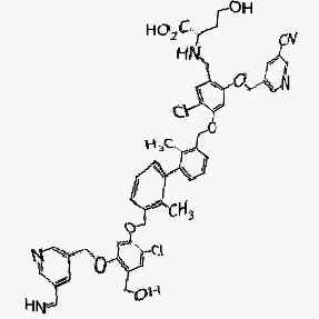 Cc1c(COc2cc(OCc3cncc(C=N)c3)c(CO)cc2Cl)cccc1-c1cccc(COc2cc(OCc3cncc(C#N)c3)c(CN[C@@H](CCO)C(=O)O)cc2Cl)c1C